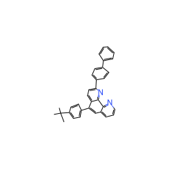 CC(C)(C)c1ccc(-c2cc3cccnc3c3nc(-c4ccc(-c5ccccc5)cc4)ccc23)cc1